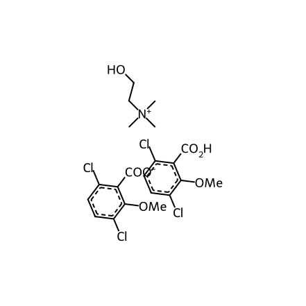 COc1c(Cl)ccc(Cl)c1C(=O)O.COc1c(Cl)ccc(Cl)c1C(=O)[O-].C[N+](C)(C)CCO